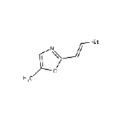 CC/C=C/c1ncc(C)o1